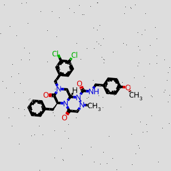 COc1ccc(CNC(=O)N2[C@H]3CN(Cc4ccc(Cl)c(Cl)c4)C(=O)[C@H](Cc4ccccc4)N3C(=O)CN2C)cc1